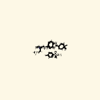 CC1(C)CCC(c2nc3ccc(OC/C(=C/F)CN)cc3o2)CC1.Cc1ccc(S(=O)(=O)O)cc1